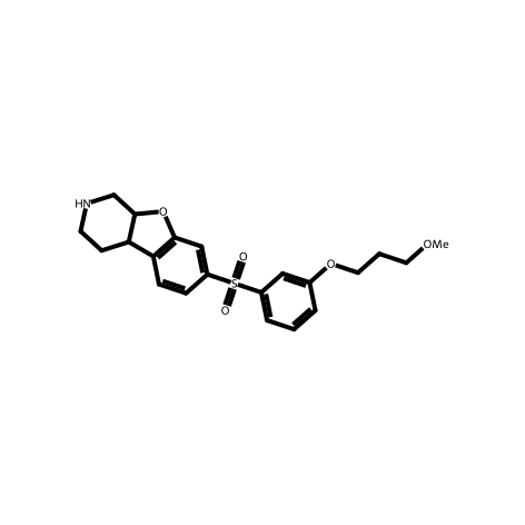 COCCCOc1cccc(S(=O)(=O)c2ccc3c(c2)OC2CNCCC32)c1